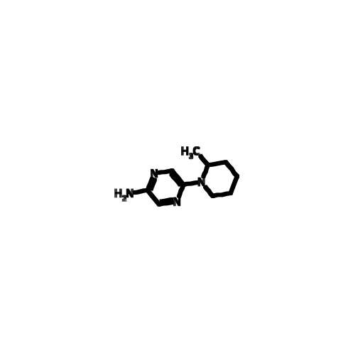 CC1CCCCN1c1cnc(N)cn1